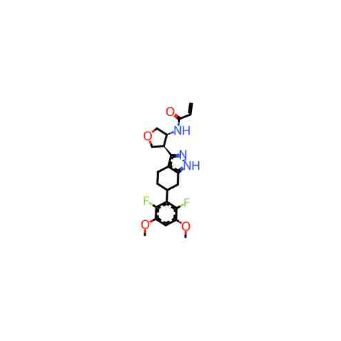 C=CC(=O)N[C@@H]1COC[C@@H]1c1n[nH]c2c1CCC(c1c(F)c(OC)cc(OC)c1F)C2